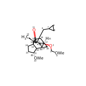 COCO[C@@H]1CC(CC2CC2)C(=O)[C@H](C)C23CC[C@H]4C[C@]41C2[C@H](OC)CC3